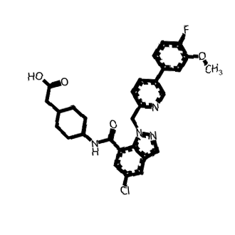 COc1cc(-c2ccc(Cn3ncc4cc(Cl)cc(C(=O)NC5CCC(CC(=O)O)CC5)c43)nc2)ccc1F